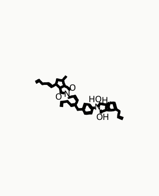 C=CC/C=C(\C=C/CN1C(=O)C2C(C)CC(/C=C/CC=C)C2C1=O)Cc1ccc(N2C(O)C3C4CC(C=C4CC=C)[C@H]3[C@H]2O)cc1